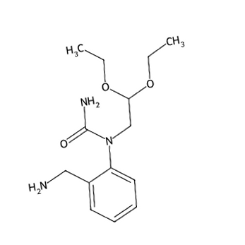 CCOC(CN(C(N)=O)c1ccccc1CN)OCC